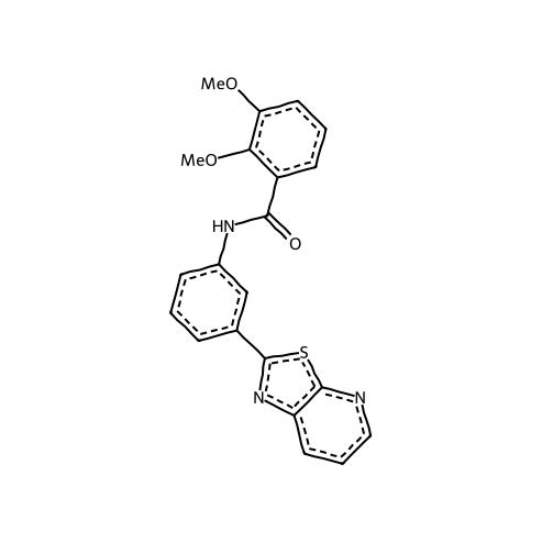 COc1cccc(C(=O)Nc2cccc(-c3nc4cccnc4s3)c2)c1OC